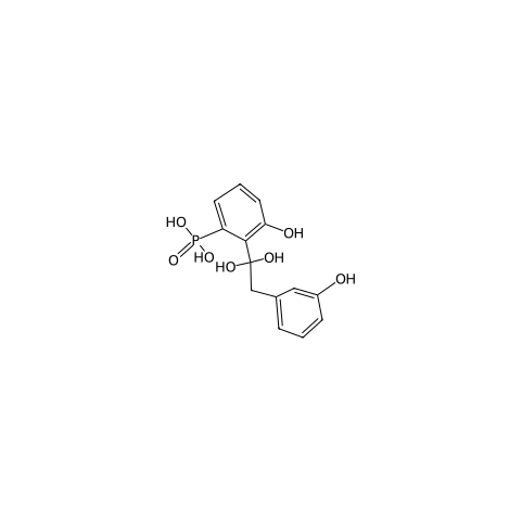 O=P(O)(O)c1cccc(O)c1C(O)(O)Cc1cccc(O)c1